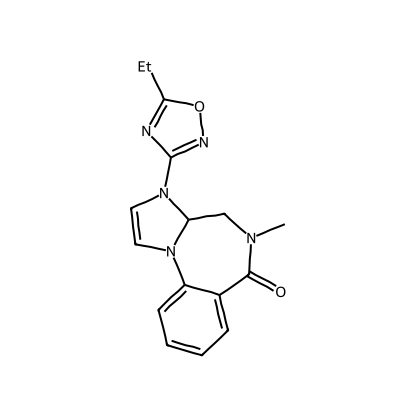 CCc1nc(N2C=CN3c4ccccc4C(=O)N(C)CC23)no1